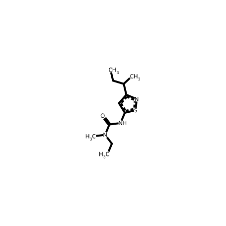 CCC(C)c1cc(NC(=O)N(C)CC)sn1